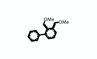 COC=c1cccc(-c2ccccc2)c1=COC